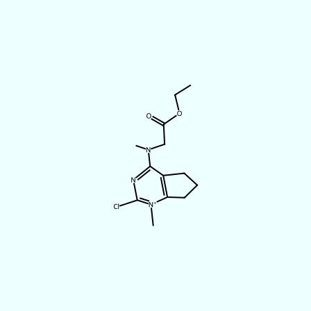 CCOC(=O)CN(C)c1nc(Cl)[n+](C)c2c1CCC2